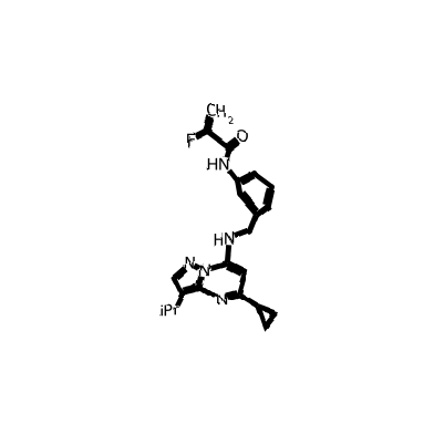 C=C(F)C(=O)Nc1cccc(CNc2cc(C3CC3)nc3c(C(C)C)cnn23)c1